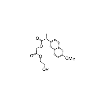 COc1ccc2cc(C(C)C(=O)OCC(=O)OCCO)ccc2c1